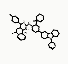 CC1C=CC(C2NC(NC3CCC(C4CCC5C(C4)C4CCCCC4N5C4CC=CCC4)CC3C3(C)CCCCC3)NC3C2CC(C)C2C=CCC[C@H]23)CC1